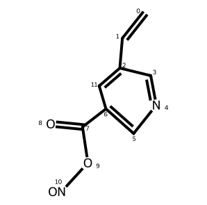 C=Cc1cncc(C(=O)ON=O)c1